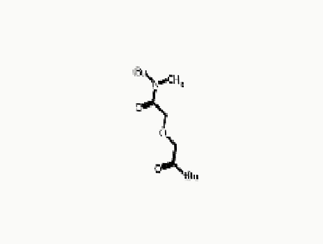 CN(C(=O)COCC(=O)C(C)(C)C)C(C)(C)C